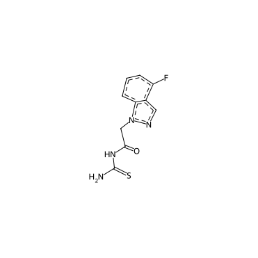 NC(=S)NC(=O)Cn1ncc2c(F)cccc21